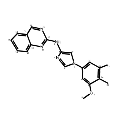 COc1cc(-n2cnc(Nc3ncc4ccccc4n3)c2)cc(C)c1C